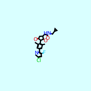 Cc1cc(-c2ncc(Cl)cc2F)cc(C)c1C1C(=O)CC(CC(=O)NCC2CC2)C1=O